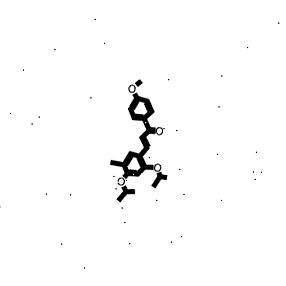 COc1ccc(C(=O)C=Cc2cc(C)c(OC(C)C)cc2OC(C)C)cc1